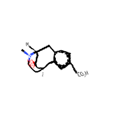 CN1CC[C@]2(C)c3cc(C(=O)O)ccc3C[C@@H]1C2(O)O